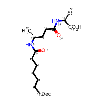 CCCCCCCCCCCCCCCC(=O)N[C@H](C)CCC(=O)N[C@@H](CC)C(=O)O